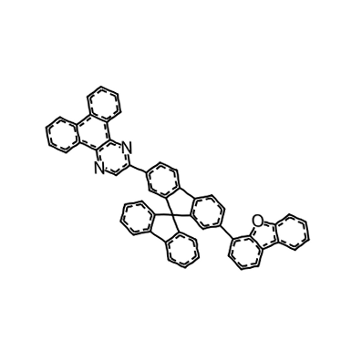 c1ccc2c(c1)-c1ccccc1C21c2cc(-c3cnc4c5ccccc5c5ccccc5c4n3)ccc2-c2ccc(-c3cccc4c3oc3ccccc34)cc21